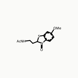 COc1ccc2c(c1)SC(CCNC(C)=O)[N+]2=O